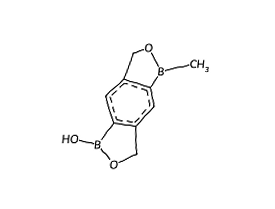 CB1OCc2cc3c(cc21)COB3O